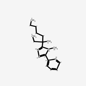 CCCCCC(C)(CC)c1nnc(-c2ccccn2)n1C